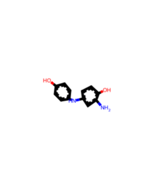 Nc1cc(Nc2ccc(O)cc2)ccc1O